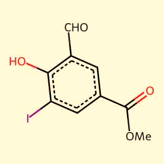 COC(=O)c1cc(I)c(O)c(C=O)c1